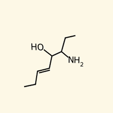 CC/C=C/C(O)C(N)CC